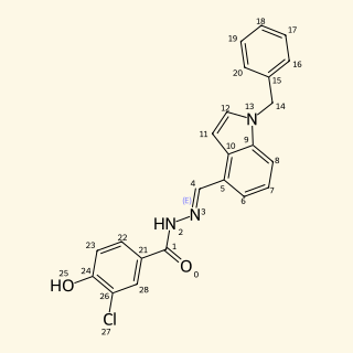 O=C(N/N=C/c1cccc2c1ccn2Cc1ccccc1)c1ccc(O)c(Cl)c1